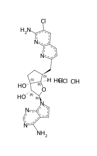 Cl.Cl.Cl.Nc1nc2nc(C[C@@H]3CC[C@@]4(O)[C@@H]3O[C@@H](n3ccc5c(N)ncnc53)[C@@H]4O)ccc2cc1Cl